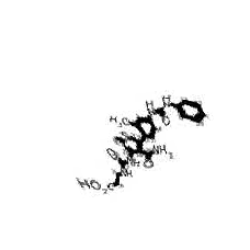 Cc1cc(NC(=O)Nc2ccccc2)ccc1-c1snc(NC(=O)NCCC(=O)O)c1C(N)=O